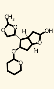 CC1OCC([C@@H]2[C@H]3CC(O)O[C@H]3C[C@H]2OC2CCCCO2)O1